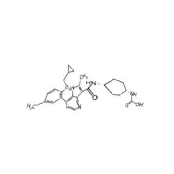 Cc1ccc(OCC2CC2)c(-c2ncnc3c(C(=O)N[C@H]4CC[C@@H](NC(=O)O)CC4)c(C)[nH]c23)c1